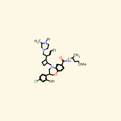 CC/C=C/C(CN1CCN(C(C)C)C(C)C1)C1CCC1CN1CC(c2ccc(Cl)cc2CCC)COc2ccc(C(=O)NSC(C)CCOC)cc21